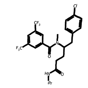 CC(C)NC(=O)CCC(Cc1ccc(Cl)cc1)N(C)C(=O)c1cc(C(F)(F)F)cc(C(F)(F)F)c1